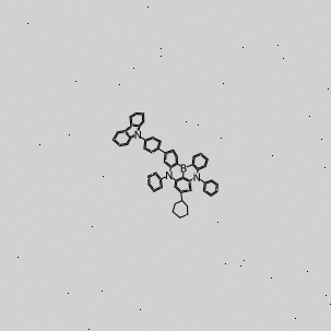 c1ccc(N2c3ccccc3B3c4ccc(-c5ccc(-n6c7ccccc7c7ccccc76)cc5)cc4N(c4ccccc4)c4cc(C5CCCCC5)cc2c43)cc1